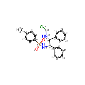 Cc1ccc(S(=O)(=O)NC(c2ccccc2)[C@H](NCCl)c2ccccc2)cc1